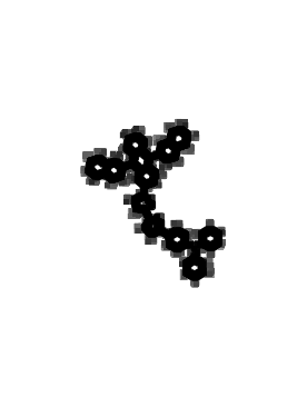 c1ccc(N(c2ccccc2)c2ccc(-c3ccc(-c4ccc(-c5ccc6c(-c7ccc8ccccc8c7)c7ccccc7c(-c7ccc8ccccc8c7)c6c5)s4)s3)cc2)cc1